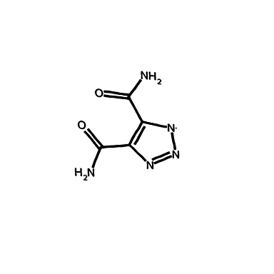 NC(=O)C1=C(C(N)=O)N=N[N]1